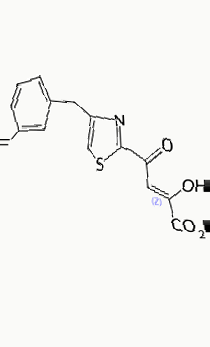 O=C(O)/C(O)=C/C(=O)c1nc(Cc2cccc(F)c2)cs1